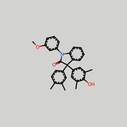 COc1cccc(N2C(=O)C(c3ccc(C)c(C)c3)(c3cc(C)c(O)c(C)c3)c3ccccc32)c1